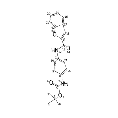 CC(C)(C)OC(=O)Nc1ccc(NC(=O)c2cc3ccccc3o2)cc1